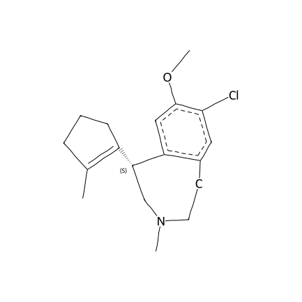 COc1cc2c(cc1Cl)CCN(C)C[C@@H]2C1=C(C)CCC1